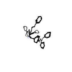 O=C1O/C(=C/c2ccc(N(c3ccccc3)c3ccccc3)cc2)C(=O)N1CCc1ccccc1